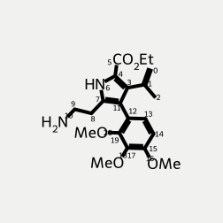 C=C(C)c1c(C(=O)OCC)[nH]c(CCN)c1-c1ccc(OC)c(OC)c1OC